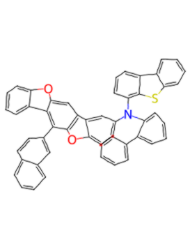 c1ccc(-c2ccccc2N(c2ccc3oc4c(-c5ccc6ccccc6c5)c5c(cc4c3c2)oc2ccccc25)c2cccc3c2sc2ccccc23)cc1